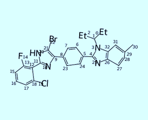 CCC(CC)n1c(-c2ccc(-c3nc(-c4c(F)cccc4Cl)[nH]c3Br)cc2)nc2ccc(C)cc21